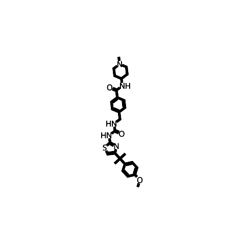 COc1ccc(C(C)(C)c2csc(NC(=O)NCc3ccc(C(=O)NC4CCN(C)CC4)cc3)n2)cc1